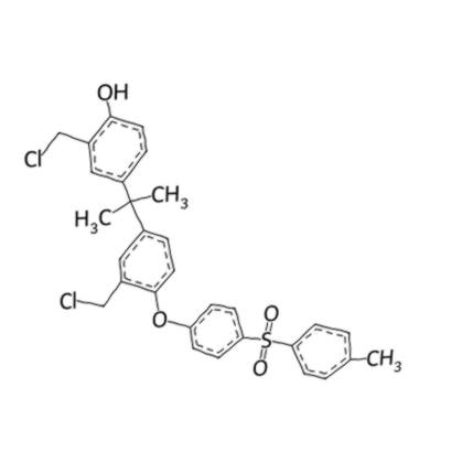 Cc1ccc(S(=O)(=O)c2ccc(Oc3ccc(C(C)(C)c4ccc(O)c(CCl)c4)cc3CCl)cc2)cc1